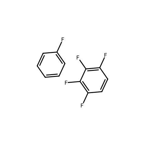 Fc1ccc(F)c(F)c1F.Fc1ccccc1